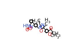 CCCc1nc(CC)c(-c2ccc3c(c2)C(=O)CC(C)(C)O3)c(=O)n1Cc1ccc(-c2ccccc2-c2noc(=O)[nH]2)cc1